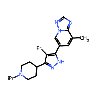 Cc1cc(-c2[nH]nc(C3CCN(C(C)C)CC3)c2C(C)C)cn2ncnc12